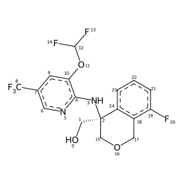 OC[C@@]1(Nc2ncc(C(F)(F)F)cc2OC(F)F)COCc2c(F)cccc21